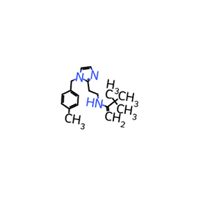 C=C(NCCc1nccn1Cc1ccc(C)cc1)C(C)(C)C